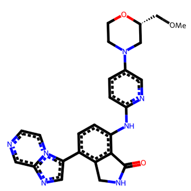 COC[C@@H]1CN(c2ccc(Nc3ccc(-c4cnc5cnccn45)c4c3C(=O)NC4)nc2)CCO1